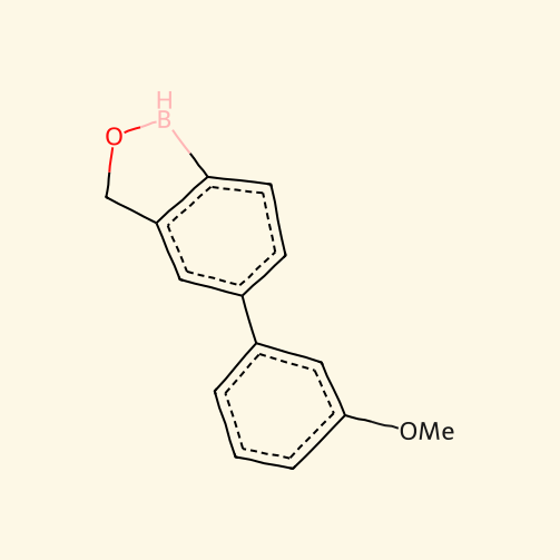 COc1cccc(-c2ccc3c(c2)COB3)c1